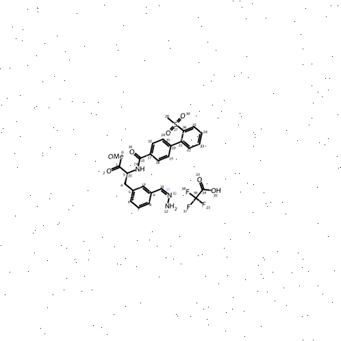 COC(=O)[C@H](Cc1cccc(/C=N\N)c1)NC(=O)c1ccc(-c2ccccc2S(C)(=O)=O)cc1.O=C(O)C(F)(F)F